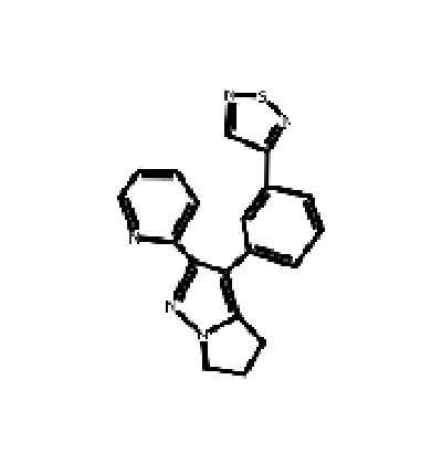 c1ccc(-c2nn3c(c2-c2cccc(-c4cnsn4)c2)CCC3)nc1